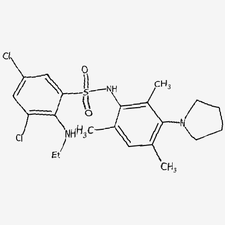 CCNc1c(Cl)cc(Cl)cc1S(=O)(=O)Nc1c(C)cc(C)c(N2CCCC2)c1C